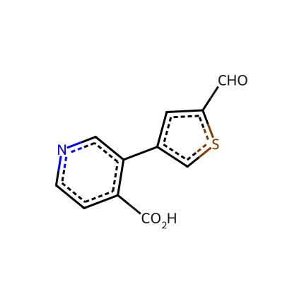 O=Cc1cc(-c2cnccc2C(=O)O)cs1